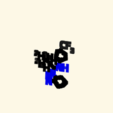 [2H]C([2H])([2H])C([2H])([2H])C(Nc1ccc(C(F)(F)F)cc1)n1nnc2ccccc21